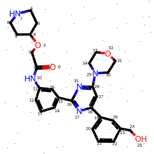 O=C(COC1CCNCC1)Nc1cccc(-c2nc(-c3cccc(CO)c3)cc(N3CCOCC3)n2)c1